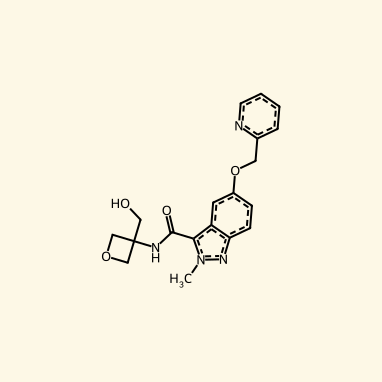 Cn1nc2ccc(OCc3ccccn3)cc2c1C(=O)NC1(CO)COC1